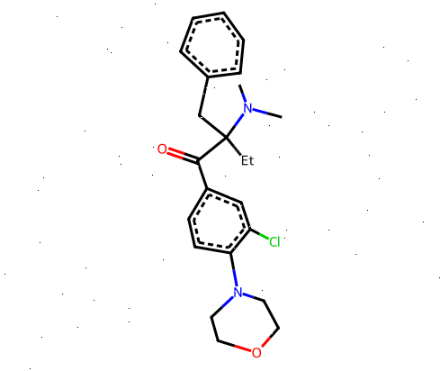 CCC(Cc1ccccc1)(C(=O)c1ccc(N2CCOCC2)c(Cl)c1)N(C)C